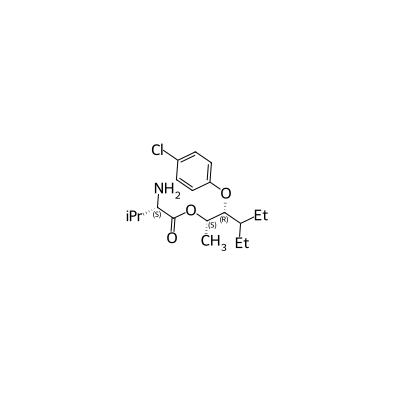 CCC(CC)[C@@H](Oc1ccc(Cl)cc1)[C@H](C)OC(=O)[C@@H](N)C(C)C